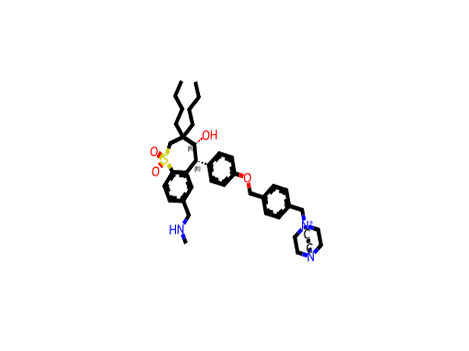 CCCCC1(CCCC)CS(=O)(=O)c2ccc(CNC)cc2[C@@H](c2ccc(OCc3ccc(C[N+]45CCN(CC4)CC5)cc3)cc2)[C@H]1O